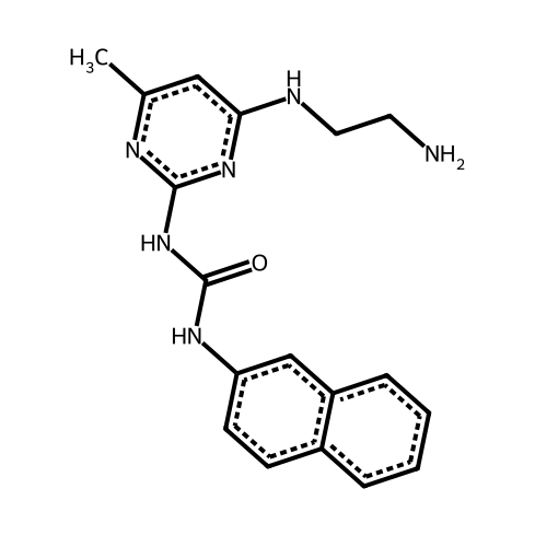 Cc1cc(NCCN)nc(NC(=O)Nc2ccc3ccccc3c2)n1